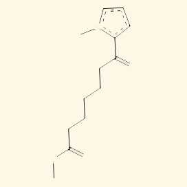 COC(=O)CCCCCC(=O)c1cccn1C